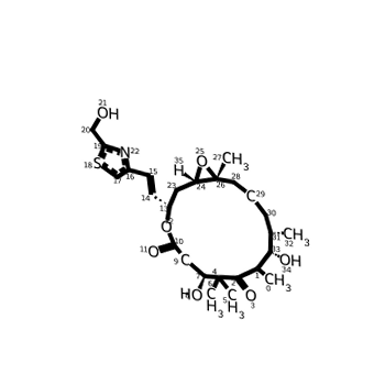 CC1C(=O)C(C)(C)[C@@H](O)CC(=O)O[C@H](C=Cc2csc(CO)n2)C[C@@H]2O[C@]2(C)CCC[C@H](C)[C@@H]1O